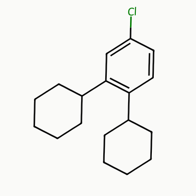 Clc1ccc(C2CCCCC2)c(C2CCCCC2)c1